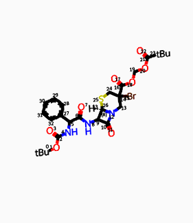 CC(C)(C)OC(=O)NC(C(=O)NC1C(=O)N2CC(Br)(C(=O)OCOC(=O)C(C)(C)C)CS[C@H]12)c1ccccc1